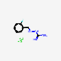 Cl.Cl.N=C(N)NNCc1ccccc1F